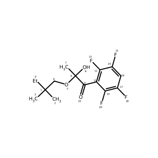 CCC(C)(C)COC(C)(O)C(=O)c1c(F)c(F)cc(F)c1F